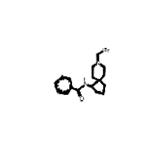 CC(C)CN1CCC2(CCCC2NC(=O)c2ccccc2)CC1